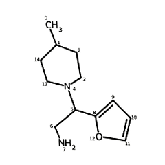 CC1CCN(C(CN)c2ccco2)CC1